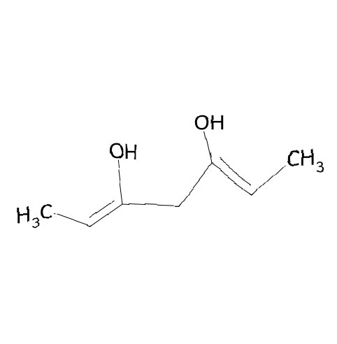 CC=C(O)CC(O)=CC